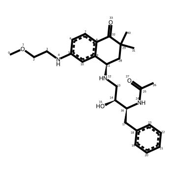 COCCNc1ccc2c(c1)[C@H](NC[C@H](O)[C@H](Cc1ccccc1)NC(C)=O)CC(C)(C)C2=O